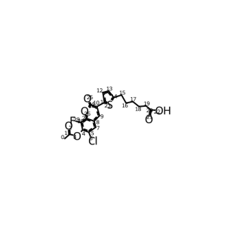 CC(=O)Oc1c(Cl)cc2cc(-c3ccc(CCCCCC(=O)O)s3)c(=O)oc2c1F